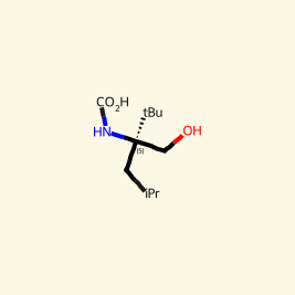 CC(C)C[C@](CO)(NC(=O)O)C(C)(C)C